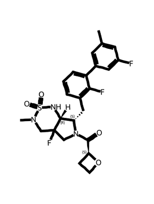 Cc1cc(F)cc(-c2cccc(C[C@H]3[C@H]4NS(=O)(=O)N(C)CC4(F)CN3C(=O)[C@@H]3CCO3)c2F)c1